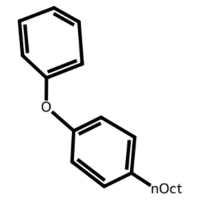 CCCCCCCCc1ccc(Oc2ccccc2)cc1